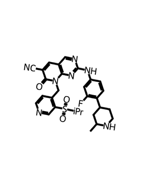 CC1CC(c2ccc(Nc3ncc4cc(C#N)c(=O)n(Cc5ccncc5S(=O)(=O)C(C)C)c4n3)cc2F)CCN1